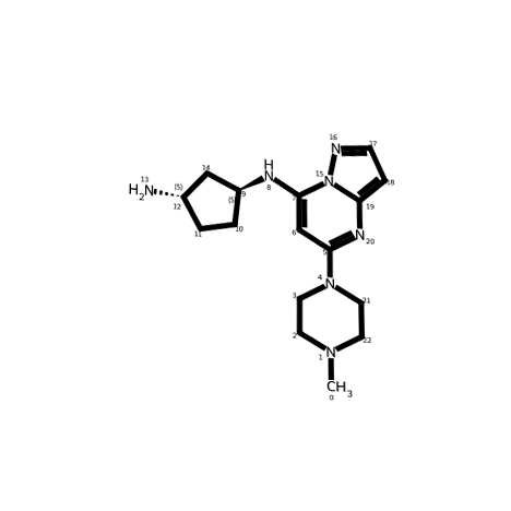 CN1CCN(c2cc(N[C@H]3CC[C@H](N)C3)n3nccc3n2)CC1